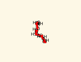 CC(S)(CCOCCNC(=O)OC(C)(C)C)NC(=O)CCOCCOC(C)(S)CCn1cc(CNC(=O)CCCC[C@@H]2SC[C@@H]3NC(=O)N[C@@H]32)nn1